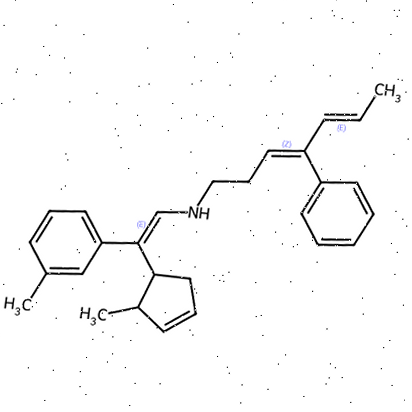 C/C=C/C(=C/CCN/C=C(/c1cccc(C)c1)C1CC=CC1C)c1ccccc1